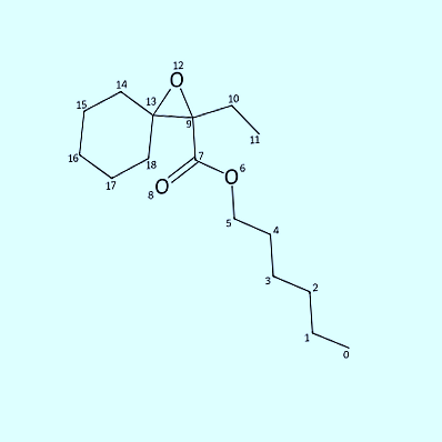 CCCCCCOC(=O)C1(CC)OC12CCCCC2